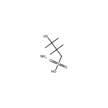 CC(C)(S)C(C)(C)CS(=O)(=O)O.N